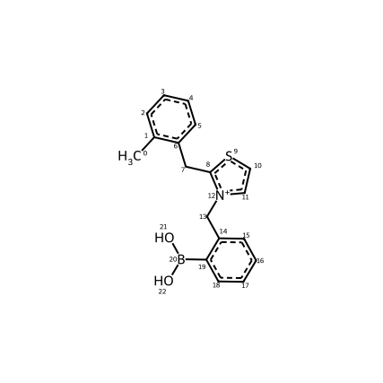 Cc1ccccc1Cc1scc[n+]1Cc1ccccc1B(O)O